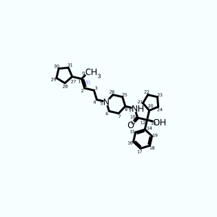 C/C(=C\CCN1CCC(NC(=O)C(O)(c2ccccc2)C2CCCC2)CC1)C1CCCC1